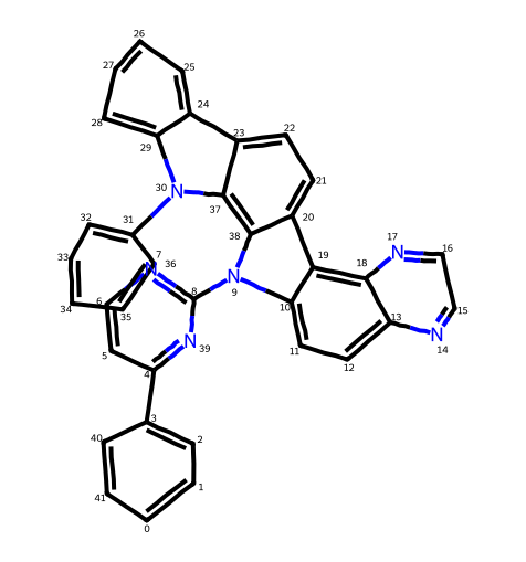 c1ccc(-c2ccnc(-n3c4ccc5nccnc5c4c4ccc5c6ccccc6n(-c6ccccc6)c5c43)n2)cc1